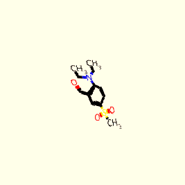 CCN(CC)c1ccc(S(C)(=O)=O)cc1C=O